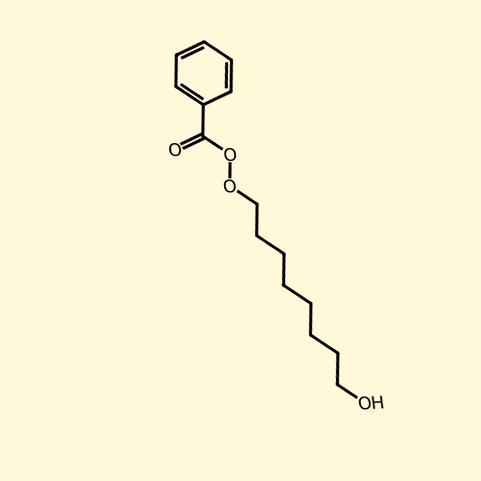 O=C(OOCCCCCCCCO)c1ccccc1